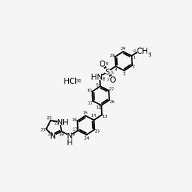 Cc1ccc(S(=O)(=O)Nc2ccc(Cc3ccc(NC4=NCCN4)cc3)cc2)cc1.Cl